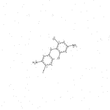 Nc1cc(Oc2c(Cl)cc([N+](=O)[O-])cc2Cl)ccc1F